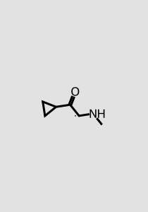 CN[CH]C(=O)C1CC1